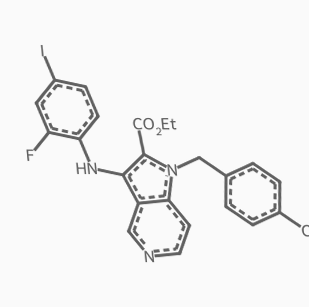 CCOC(=O)c1c(Nc2ccc(I)cc2F)c2cnccc2n1Cc1ccc(C#N)cc1